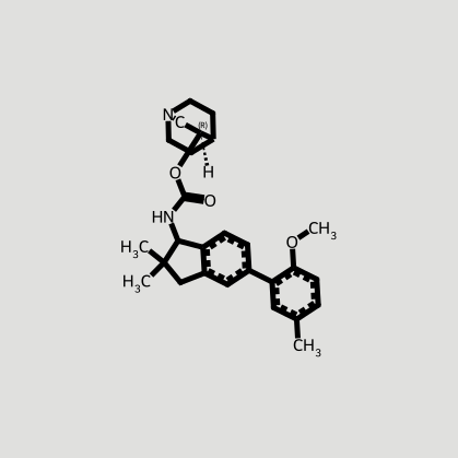 COc1ccc(C)cc1-c1ccc2c(c1)CC(C)(C)C2NC(=O)O[C@H]1CN2CCC1CC2